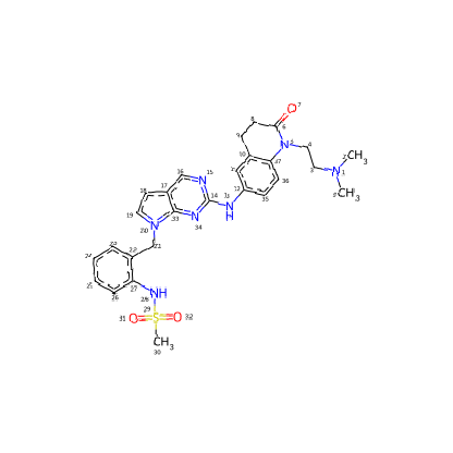 CN(C)CCN1C(=O)CCc2cc(Nc3ncc4ccn(Cc5ccccc5NS(C)(=O)=O)c4n3)ccc21